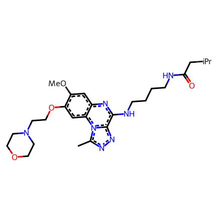 COc1cc2nc(NCCCCNC(=O)CC(C)C)c3nnc(C)n3c2cc1OCCN1CCOCC1